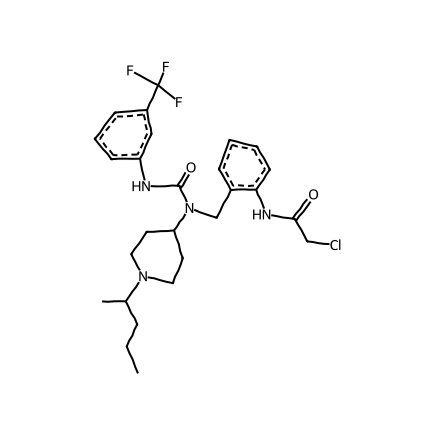 CCCC(C)N1CCC(N(Cc2ccccc2NC(=O)CCl)C(=O)Nc2cccc(C(F)(F)F)c2)CC1